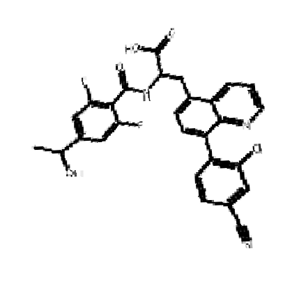 CC(O)c1cc(F)c(C(=O)NC(Cc2ccc(-c3ccc(C#N)cc3Cl)c3ncccc23)C(=O)O)c(F)c1